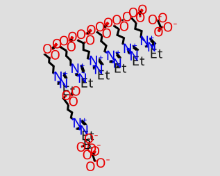 CCn1cc[n+](CCCC2COC(=O)O2)c1.CCn1cc[n+](CCCC2COC(=O)O2)c1.CCn1cc[n+](CCCC2COC(=O)O2)c1.CCn1cc[n+](CCCC2COC(=O)O2)c1.CCn1cc[n+](CCCC2COC(=O)O2)c1.CCn1cc[n+](CCCC2COC(=O)O2)c1.CCn1cc[n+](CCCC2COC(=O)O2)c1.O=C([O-])C(=O)[O-].O=C([O-])C(=O)[O-].[O-]B([O-])[O-]